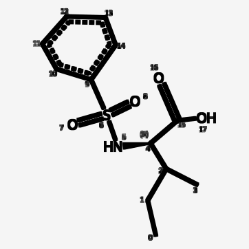 CCC(C)[C@@H](NS(=O)(=O)c1ccccc1)C(=O)O